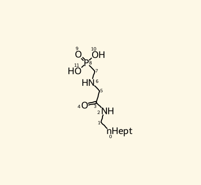 CCCCCCCCNC(=O)CNCP(=O)(O)O